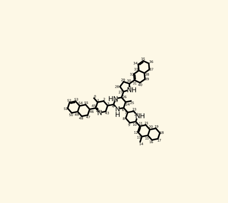 CC1CC(C2NC(C3CCC(C4=CC(C)C5CCCCC5C4)NC3)C(C)C(C3CCC(C4=CC5C=CCCC5CC4)N3)N2)CN=C1C1CCC2CCC=CC2C1